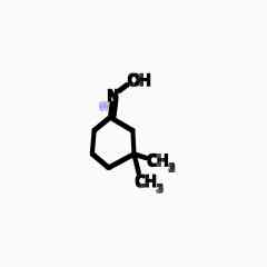 CC1(C)CCC/C(=N/O)C1